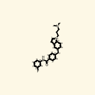 CN(C)CCCn1ccc2cc(Cc3ccc(C(=O)Nc4cccc(F)c4)cc3)ccc21